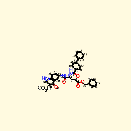 O=C(CC[C@H](NC(=O)c1ccc(-c2ccccc2)cc1)C(=O)Nc1ccc2[nH]cc(C(=O)O)c(=O)c2c1)OCc1ccccc1